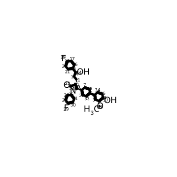 COc1cc(-c2ccc([C@@H]3[C@@H](CC[C@H](O)c4ccc(F)cc4)C(=O)N3c3ccc(F)cc3)cc2)ccc1O